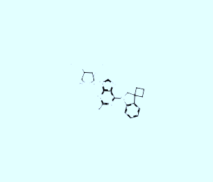 CC[C@H]1O[C@@H](n2cnc3c(N4CC5(CCC5)c5ccccc54)nc(Cl)nc32)[C@@H](OC(C)=O)C1OC(C)=O